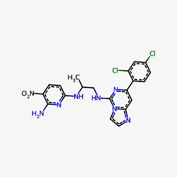 CC(CNc1nc(-c2ccc(Cl)cc2Cl)cc2nccn12)Nc1ccc([N+](=O)[O-])c(N)n1